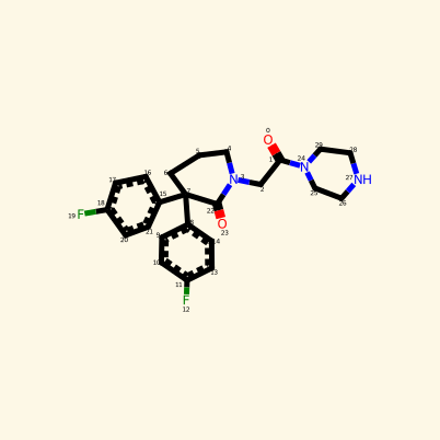 O=C(CN1CCCC(c2ccc(F)cc2)(c2ccc(F)cc2)C1=O)N1CCNCC1